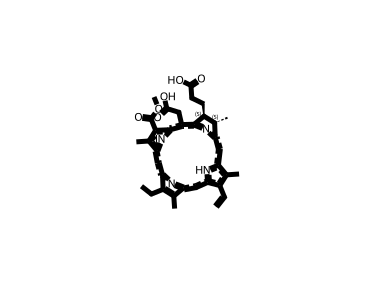 C=Cc1c(C)c2cc3nc(c(CC(=O)O)c4[nH]c(cc5nc(cc1[nH]2)C(C)=C5CC)c(C)c4C(=O)OC)[C@@H](CCC(=O)O)[C@@H]3C